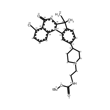 CC(C)(C)OC(=O)NCCN1CCC(c2ccc3c(c2)-n2c(nc(=O)c4c(Cl)cccc42)C3(C)C)CC1